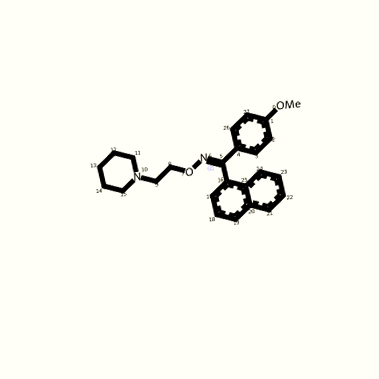 COc1ccc(/C(=N/OCCN2CCCCC2)c2cccc3ccccc23)cc1